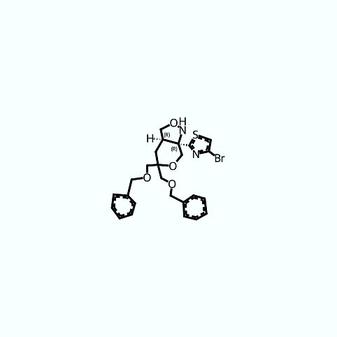 Brc1csc([C@]23COC(COCc4ccccc4)(COCc4ccccc4)C[C@H]2CON3)n1